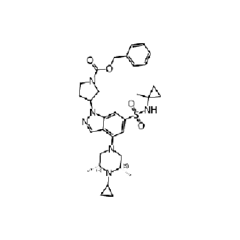 C[C@@H]1CN(c2cc(S(=O)(=O)NC3(C)CC3)cc3c2cnn3C2CCN(C(=O)OCc3ccccc3)C2)C[C@H](C)N1C1CC1